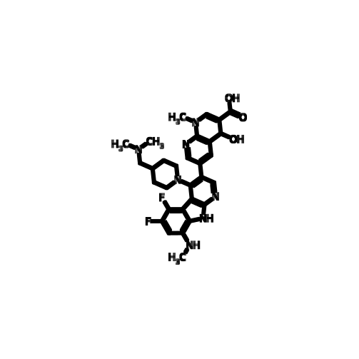 CNc1cc(F)c(F)c2c1[nH]c1ncc(-c3cnc4c(c3)C(O)C(C(=O)O)=CN4C)c(N3CCC(CN(C)C)CC3)c12